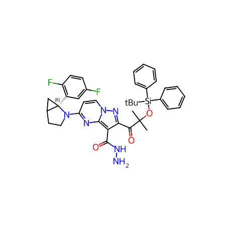 CC(C)(O[Si](c1ccccc1)(c1ccccc1)C(C)(C)C)C(=O)c1nn2ccc(N3CCC4C[C@]43c3cc(F)ccc3F)nc2c1C(=O)NN